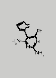 CCc1nc(N)nc(N)c1-c1cccs1